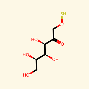 O=C(COS)[C@H](O)[C@@H](O)[C@H](O)CO